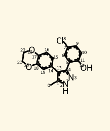 Cc1[nH]nc(-c2cc(Cl)ccc2O)c1-c1ccc2c(c1)OCCO2